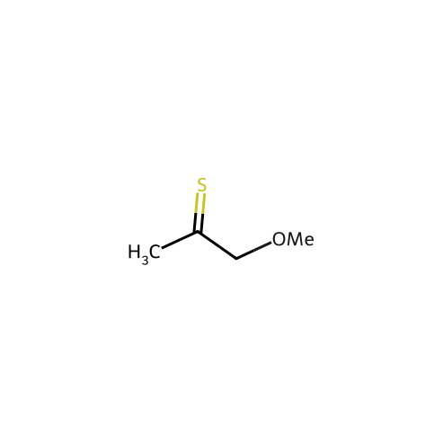 COCC(C)=S